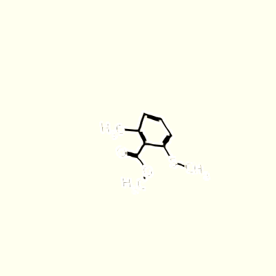 COC(=O)c1c(C)cccc1SC